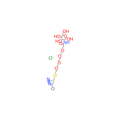 N#[N+]N=C(CCCSSCCOCCOCCOCCOCCC(=O)NC1C(O)OC(CO)C(O)C1O)C1CCC1.[Cl-]